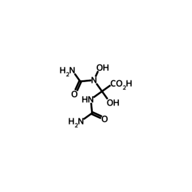 NC(=O)NC(O)(C(=O)O)N(O)C(N)=O